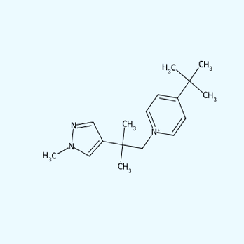 Cn1cc(C(C)(C)C[n+]2ccc(C(C)(C)C)cc2)cn1